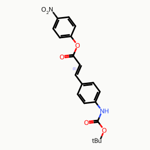 CC(C)(C)OC(=O)Nc1ccc(/C=C/C(=O)Oc2ccc([N+](=O)[O-])cc2)cc1